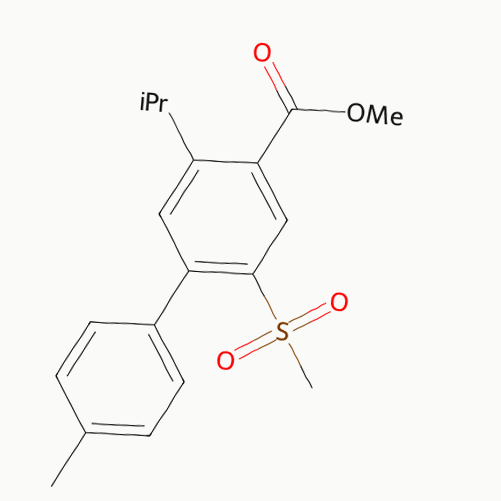 COC(=O)c1cc(S(C)(=O)=O)c(-c2ccc(C)cc2)cc1C(C)C